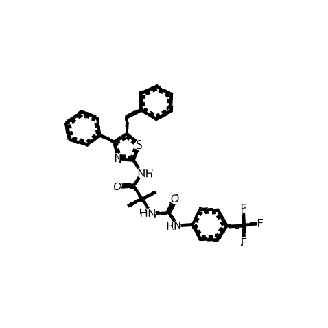 CC(C)(NC(=O)Nc1ccc(C(F)(F)F)cc1)C(=O)Nc1nc(-c2ccccc2)c(Cc2ccccc2)s1